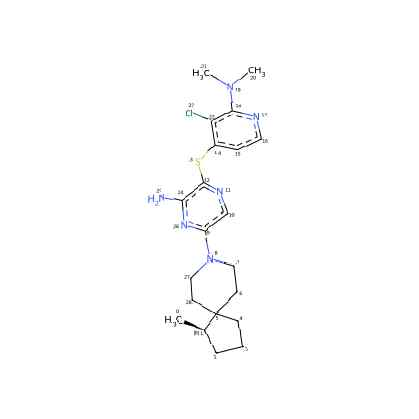 C[C@@H]1CCCC12CCN(c1cnc(Sc3ccnc(N(C)C)c3Cl)c(N)n1)CC2